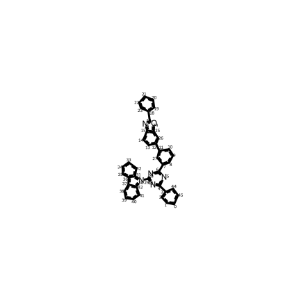 c1ccc(-c2nc(-c3cccc(-c4ccc5nc(-c6ccccc6)oc5c4)c3)nc(-n3c4ccccc4c4ccccc43)n2)cc1